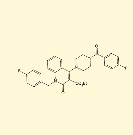 CCOC(=O)c1c(N2CCN(C(=O)c3ccc(F)cc3)CC2)c2ccccc2n(Cc2ccc(F)cc2)c1=O